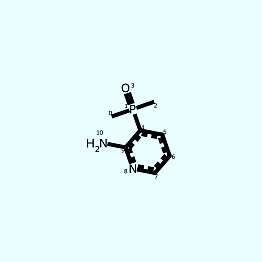 CP(C)(=O)c1cccnc1N